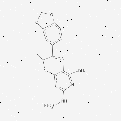 CCOC(=O)Nc1cc2c(c(N)n1)N=C(c1ccc3c(c1)OCO3)C(C)N2